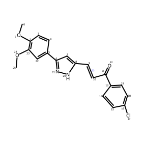 COc1ccc(-c2cc(/C=C/C(=O)c3ccc(Cl)cc3)[nH]n2)cc1OC